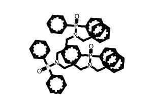 O=P(c1ccccc1)(c1ccccc1)N(CCCN(Cc1ccccc1)P(=O)(c1ccccc1)c1ccccc1)CCCN(Cc1ccccc1)P(=O)(c1ccccc1)c1ccccc1